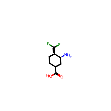 N[C@H]1C[C@@H](C(=O)O)CCC1=C(F)F